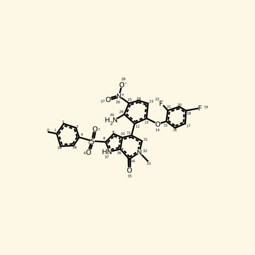 Cc1ccc(S(=O)(=O)c2cc3c(-c4c(Oc5ccc(F)cc5F)ccc([N+](=O)[O-])c4N)cn(C)c(=O)c3[nH]2)cc1